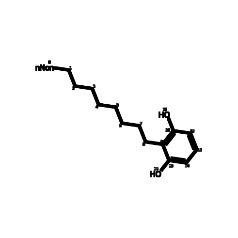 CCCCCCCCCCCCCCCCCc1c(O)cccc1O